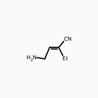 CC/C(C#N)=C\CN